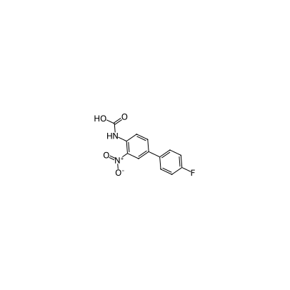 O=C(O)Nc1ccc(-c2ccc(F)cc2)cc1[N+](=O)[O-]